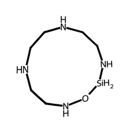 C1CNCCN[SiH2]ONCCN1